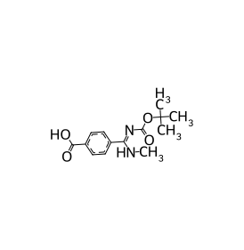 CN/C(=N\C(=O)OC(C)(C)C)c1ccc(C(=O)O)cc1